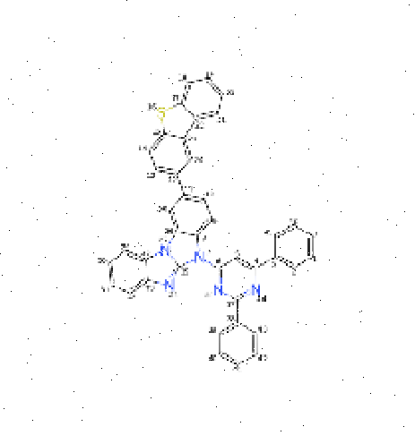 c1ccc(-c2cc(-n3c4ccc(-c5ccc6sc7ccccc7c6c5)cc4n4c5ccccc5nc34)nc(-c3ccccc3)n2)cc1